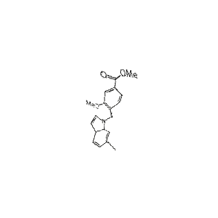 COC(=O)c1ccc(CN2C=CC3C=CC(C)=CC32)c(OC)c1